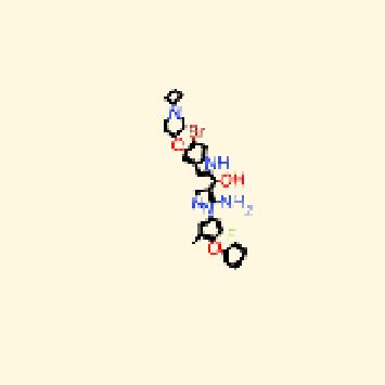 Cc1cc(-n2ncc(C(O)c3cc4cc(OC5CCN(C6CCC6)CC5)c(Br)cc4[nH]3)c2N)ccc1Oc1ccccc1F